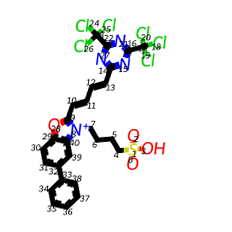 O=S(=O)(O)CCCC[n+]1c(C=CC=Cc2nc(C(Cl)(Cl)Cl)nc(C(Cl)(Cl)Cl)n2)oc2ccc(-c3ccccc3)cc21